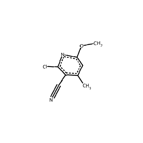 COc1cc(C)c(C#N)c(Cl)n1